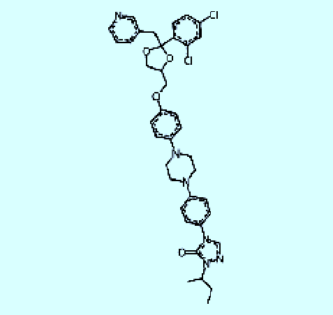 CCC(C)n1ncn(-c2ccc(N3CCN(c4ccc(OCC5COC(Cc6cccnc6)(c6ccc(Cl)cc6Cl)O5)cc4)CC3)cc2)c1=O